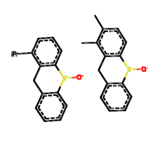 CC(C)c1cccc2c1Cc1ccccc1[S+]2[O-].Cc1ccc2c(c1C)Cc1ccccc1[S+]2[O-]